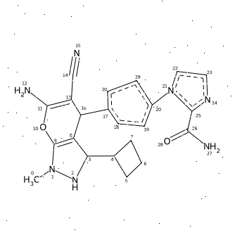 CN1NC(C2CCC2)C2=C1OC(N)=C(C#N)C2c1ccc(-n2ccnc2C(N)=O)cc1